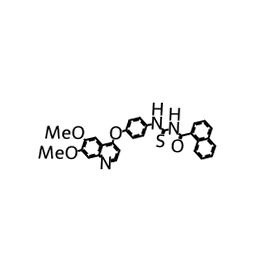 COc1cc2nccc(Oc3ccc(NC(=S)NC(=O)c4cccc5ccccc45)cc3)c2cc1OC